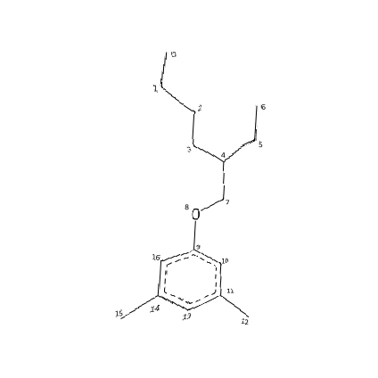 CCCCC(CC)COc1cc(C)cc(C)c1